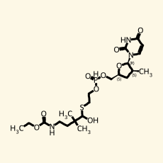 CCOC(=O)NCCC(C)(C)C(O)SCCO[PH](=O)OC[C@@H]1C[C@H](C)[C@H](n2ccc(=O)[nH]c2=O)O1